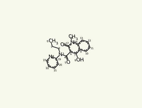 CCCN(C(=O)c1c(O)c2ccccc2n(C)c1=O)c1ccccn1